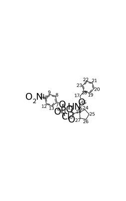 O=C(OP(=O)(Cl)Oc1ccc([N+](=O)[O-])cc1)C1(NOCc2ccccc2)CCCC1